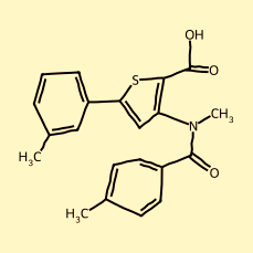 Cc1ccc(C(=O)N(C)c2cc(-c3cccc(C)c3)sc2C(=O)O)cc1